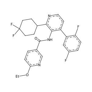 CCOc1ccc(C(=O)Nc2c(-c3cc(F)ccc3F)ccnc2C2CCC(F)(F)CC2)cn1